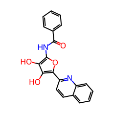 O=C(Nc1oc(-c2ccc3ccccc3n2)c(O)c1O)c1ccccc1